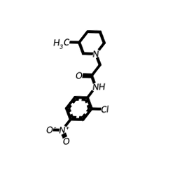 CC1CCCN(CC(=O)Nc2ccc([N+](=O)[O-])cc2Cl)C1